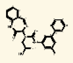 Cc1cc(NC(=O)N(CC(=O)O)C2N=Cc3ccccc3NC2=O)cc(-c2ccccc2)c1